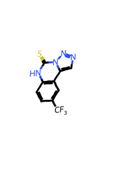 FC(F)(F)c1ccc2[nH]c(=S)n3nncc3c2c1